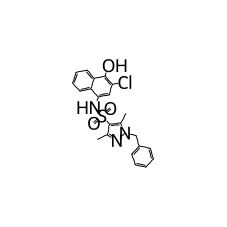 Cc1nn(Cc2ccccc2)c(C)c1S(=O)(=O)Nc1cc(Cl)c(O)c2ccccc12